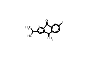 C=C1c2ccc(F)cc2C(=O)c2oc(C(C)O)cc21